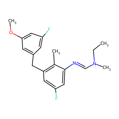 CCN(C)C=Nc1cc(F)cc(Cc2cc(F)cc(OC)c2)c1C